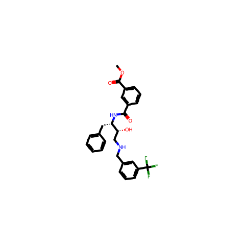 COC(=O)c1cccc(C(=O)N[C@@H](Cc2ccccc2)[C@H](O)CNCc2cccc(C(F)(F)F)c2)c1